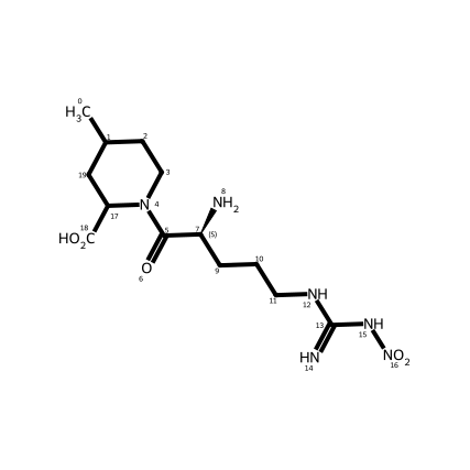 CC1CCN(C(=O)[C@@H](N)CCCNC(=N)N[N+](=O)[O-])C(C(=O)O)C1